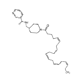 CC/C=C\C/C=C\C/C=C\C/C=C\C/C=C\CCCC(=O)N1CCC(CNC(=O)c2cccnc2)CC1